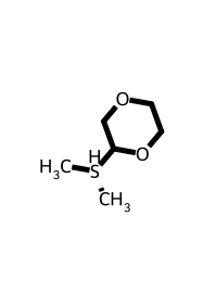 C[SH](C)C1COCCO1